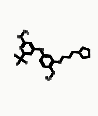 CNc1cc(Nc2ccc(OC)c(OCCCN3CCCC3)c2)cc(C(F)(F)F)n1